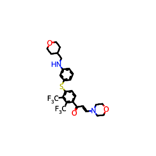 O=C(C=CN1CCOCC1)c1ccc(Sc2cccc(NCC3CCOCC3)c2)c(C(F)(F)F)c1C(F)(F)F